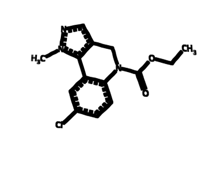 CCOC(=O)N1Cc2cnn(C)c2-c2cc(Cl)ccc21